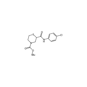 CC(C)(C)OC(=O)N1CCSC(C(=O)Nc2ccc(Cl)cc2)C1